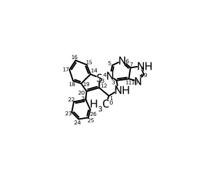 CC(Nc1ncnc2[nH]cnc12)c1sc2ccccc2c1-c1ccccc1